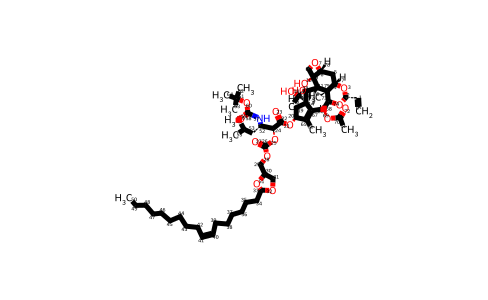 C=C[C@H]1O[C@H]2C[C@H]3OC[C@@]3(O)[C@H]3[C@H](O)[C@]4(C(C)(C)O)C[C@H](OC(=O)[C@H](OC(=O)OCC5COC(CCCCCC/C=C\CCCCCCCCC)O5)[C@H](CC(C)C)NC(=O)OC(C)(C)C)C(C)=C4[C@H](OC(C)=O)[C@H](O1)[C@]23C